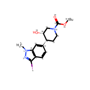 Cn1nc(I)c2ccc([C@H]3CCN(C(=O)OC(C)(C)C)C[C@H]3O)cc21